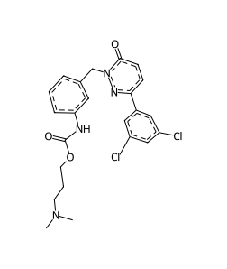 CN(C)CCCOC(=O)Nc1cccc(Cn2nc(-c3cc(Cl)cc(Cl)c3)ccc2=O)c1